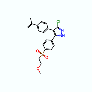 C=C(C)c1ccc(-c2c(Cl)n[nH]c2-c2ccc(S(=O)(=O)CCOC)cc2)cc1